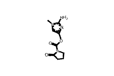 Cn1cc(OC(=O)N2CCCC2=O)nc1N